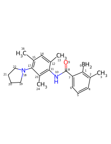 Bc1c(C)cccc1C(=O)Nc1c(C)cc(C)c(N2CCCC2)c1C